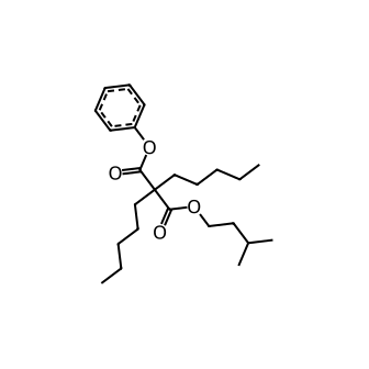 CCCCCC(CCCCC)(C(=O)OCCC(C)C)C(=O)Oc1ccccc1